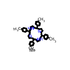 Cc1ccc(-c2c3nc(c(-c4ccc(C)cc4)c4ccc([nH]4)c(-c4ccc(C)cc4)c4nc(c(-c5ccc(C)cc5)c5ccc2[nH]5)C=C4)C=C3)cc1.[Mn]